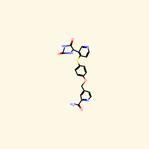 NC(=O)c1cc(COc2ccc(Sc3ccncc3C3NC(=O)NC3=O)cc2)ccn1